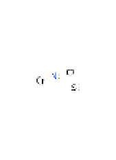 [C].[Cr].[N].[Si]